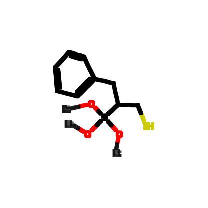 CCO[Si](OCC)(OCC)C(CS)Cc1ccccc1